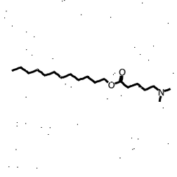 CCCCCCCCCCCCOC(=O)CCCCN(C)C